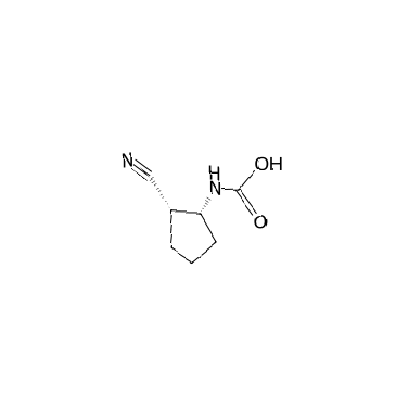 N#C[C@H]1CCC[C@H]1NC(=O)O